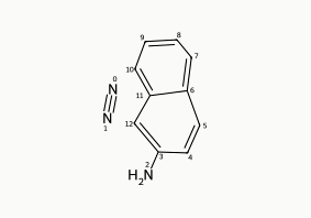 N#N.Nc1ccc2ccccc2c1